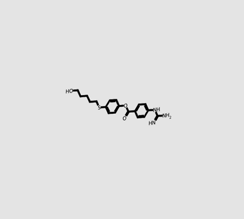 N=C(N)Nc1ccc(C(=O)Oc2ccc(SCCCCCO)cc2)cc1